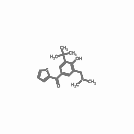 CN(C)Cc1cc(C(=O)c2cccs2)cc(C(C)(C)C)c1O